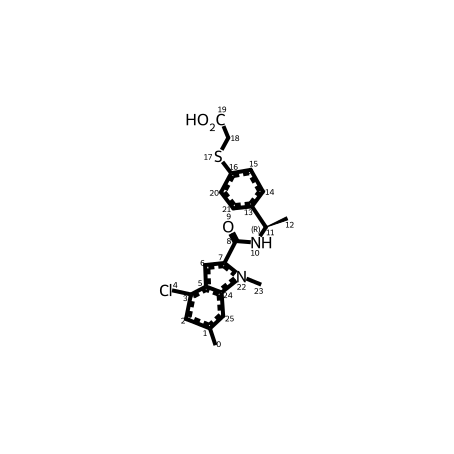 Cc1cc(Cl)c2cc(C(=O)N[C@H](C)c3ccc(SCC(=O)O)cc3)n(C)c2c1